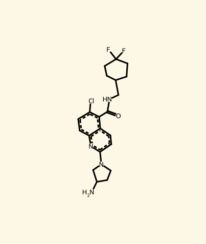 NC1CCN(c2ccc3c(C(=O)NCC4CCC(F)(F)CC4)c(Cl)ccc3n2)C1